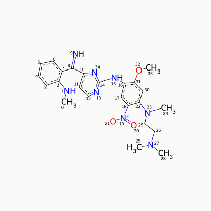 CNc1ccccc1C(=N)c1ccnc(Nc2cc([N+](=O)[O-])c(N(C)CCN(C)C)cc2OC)n1